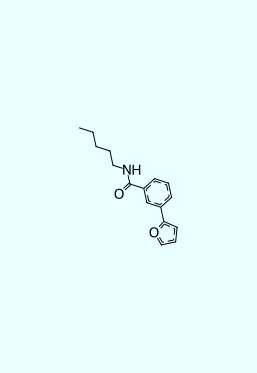 CCCCCNC(=O)c1cccc(-c2ccco2)c1